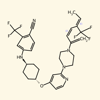 C=C(/C=C\C(=C/C)C(F)(F)F)N1CCN(c2cc(O[C@H]3CC[C@H](Nc4ccc(C#N)c(C(F)(F)F)c4)CC3)ccn2)CC1